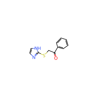 O=C(CSc1ncc[nH]1)c1ccccc1